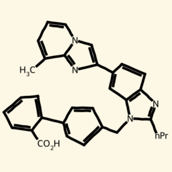 CCCc1nc2ccc(-c3cn4cccc(C)c4n3)cc2n1Cc1ccc(-c2ccccc2C(=O)O)cc1